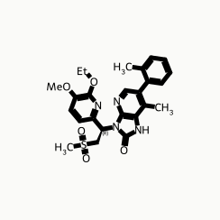 CCOc1nc([C@H](CS(C)(=O)=O)n2c(=O)[nH]c3c(C)c(-c4ccccc4C)cnc32)ccc1OC